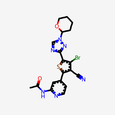 CC(=O)Nc1cc(-c2sc(-c3ncn(C4CCCCO4)n3)c(Br)c2C#N)ccn1